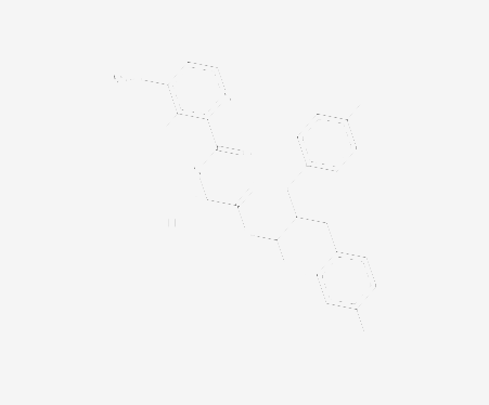 COc1ccnc(C(=O)N[C@@H](C)C(=O)OC(C)C(Cc2ccc(F)cc2)Cc2ccc(F)cc2)c1O